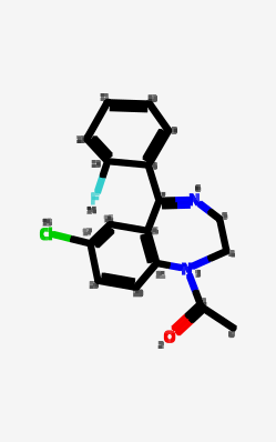 CC(=O)N1CCN=C(c2ccccc2F)c2cc(Cl)ccc21